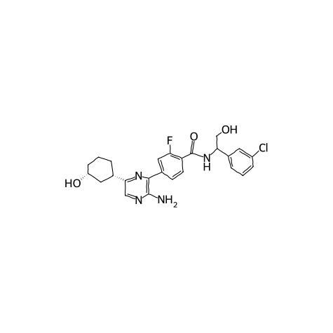 Nc1ncc([C@H]2CCC[C@@H](O)C2)nc1-c1ccc(C(=O)NC(CO)c2cccc(Cl)c2)c(F)c1